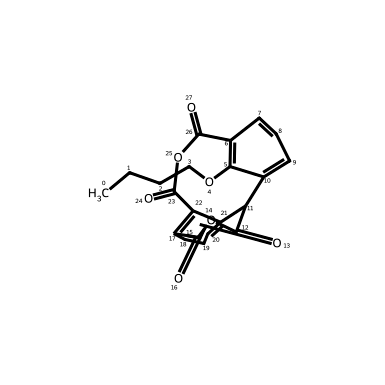 CCCCOc1c2cccc1C1C(=O)OC(=O)c3cccc1c3C(=O)OC2=O